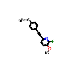 CCCCCc1ccc(C#Cc2ccc(OCC)c(F)n2)cc1